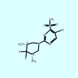 C[C@@H]1CN(c2ncc(Cl)c(S(C)(=O)=O)n2)C[C@H](C)C1(F)F